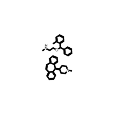 CN1CCC(=C2c3ccccc3C=Cc3ccccc32)CC1.CNCCOC(c1ccccc1)c1ccccc1C